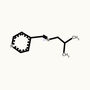 CC(C)C/N=C/c1ccncc1